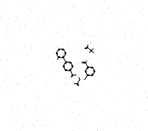 COC(=O)[C@H](Cc1cccc(C(=N)N)c1)NC(=O)c1ccc(-c2ccccc2C#N)cc1.O=C(O)C(F)(F)F